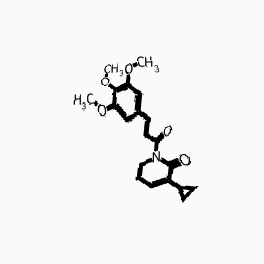 COc1cc(C=CC(=O)N2CCC=C(C3CC3)C2=O)cc(OC)c1OC